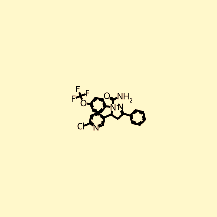 NC(=O)[N+]1(c2ccc(OC(F)(F)F)cc2)N=C(c2ccccc2)CC1c1ccc(Cl)nc1